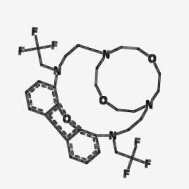 FC(F)(F)CN1CCN2CCOCCN(CCOCC2)CCN(CC(F)(F)F)c2cccc3c2oc2c1cccc23